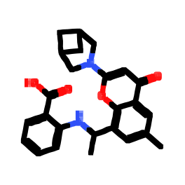 Cc1cc(C(C)Nc2ccccc2C(=O)O)c2oc(N3CC4CC(C4)C3)cc(=O)c2c1